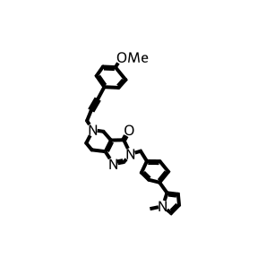 COc1ccc(C#CCN2CCc3ncn(Cc4ccc(-c5cccn5C)cc4)c(=O)c3C2)cc1